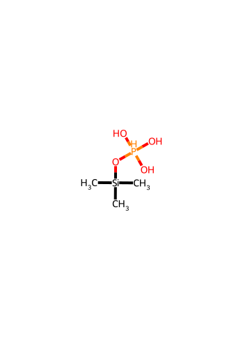 C[Si](C)(C)O[PH](O)(O)O